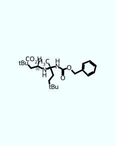 CC(C)(C)CC[C@@](C)(NC(=O)OCc1ccccc1)N[C@@H](CC(C)(C)C)C(=O)O